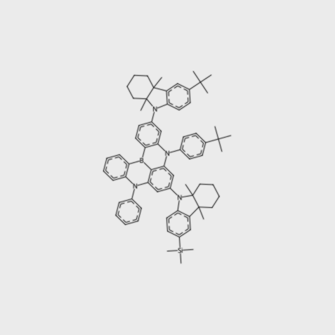 CC(C)(C)c1ccc(N2c3cc(N4c5ccc(C(C)(C)C)cc5C5(C)CCCCC45C)ccc3B3c4ccccc4N(c4ccccc4)c4cc(N5c6ccc([Si](C)(C)C)cc6C6(C)CCCCC56C)cc2c43)cc1